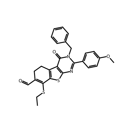 CCSC1=C(C=O)CCc2c1sc1nc(-c3ccc(OC)cc3)n(Cc3ccccc3)c(=O)c21